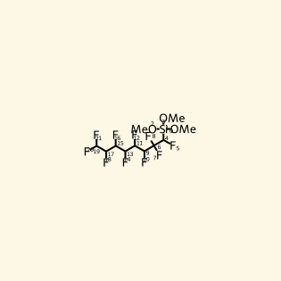 CO[Si](OC)(OC)C(F)C(F)(F)C(F)C(F)C(F)C(F)C(F)C(F)F